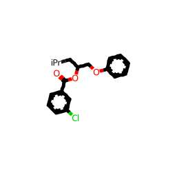 CC(C)CC(COc1ccccc1)OC(=O)c1cccc(Cl)c1